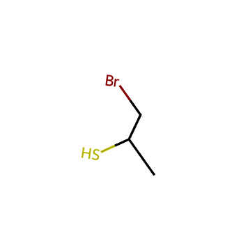 CC(S)CBr